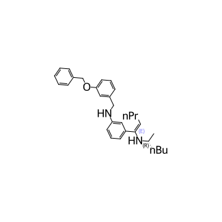 CCC/C=C(/N[C@H](C)CCCC)c1cccc(NCc2cccc(OCc3ccccc3)c2)c1